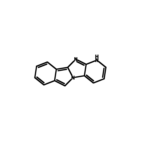 c1ccc2c(c1)cn1c3ccc[nH]c3nc21